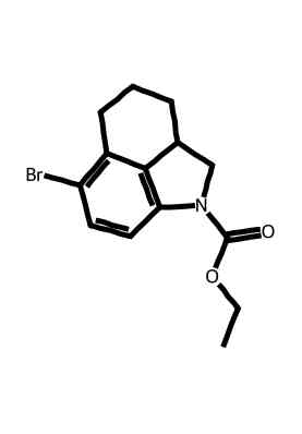 CCOC(=O)N1CC2CCCc3c(Br)ccc1c32